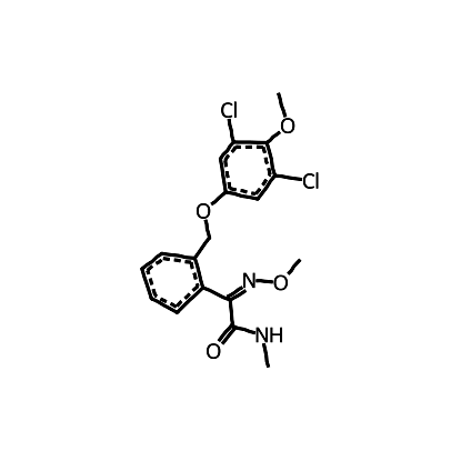 CNC(=O)C(=NOC)c1ccccc1COc1cc(Cl)c(OC)c(Cl)c1